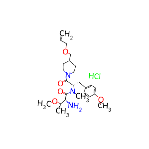 C=CCOCC1CCN(C(=O)[C@H](Cc2ccc(OC)cc2)N(C)C(=O)[C@@H](N)[C@@H](C)OC)CC1.Cl